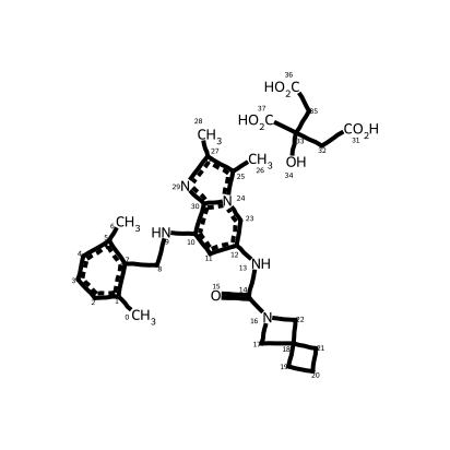 Cc1cccc(C)c1CNc1cc(NC(=O)N2CC3(CCC3)C2)cn2c(C)c(C)nc12.O=C(O)CC(O)(CC(=O)O)C(=O)O